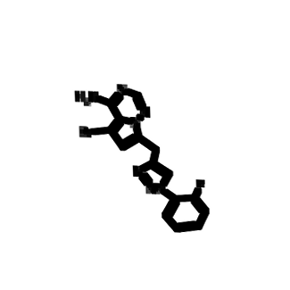 Nc1ncnn2c(Cc3cn(-c4ccccc4F)nn3)cc(Br)c12